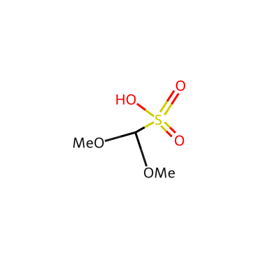 COC(OC)S(=O)(=O)O